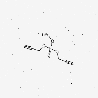 C#CCOP(=S)(OCC#C)OCCC